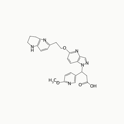 COc1ccc(C(CC(=O)O)n2ncc3nc(OCCc4ccc5c(n4)CCCN5)ccc32)cn1